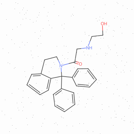 O=C(CNCCO)N1CCc2ccccc2C1(c1ccccc1)c1ccccc1